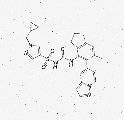 Cc1cc2c(c(NC(=O)NS(=O)(=O)c3cnn(CC4CC4)c3)c1-c1ccn3nccc3c1)CCC2